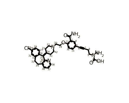 NC(=O)c1cc(C#CCCN(N)C(=O)O)ccc1OCCN1CCC(=C2c3ccc(Cl)cc3CCc3cccnc32)CC1